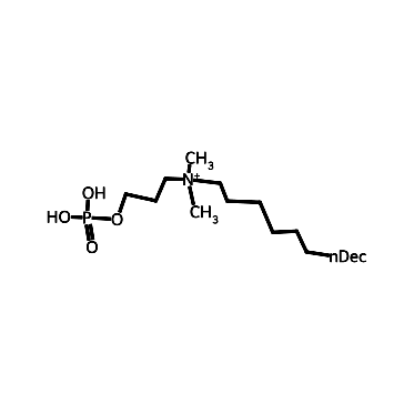 CCCCCCCCCCCCCCCC[N+](C)(C)CCCOP(=O)(O)O